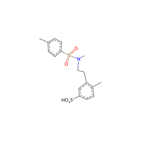 Cc1ccc(S(=O)(=O)N(C)CCc2cc(S(=O)(=O)O)ccc2C)cc1